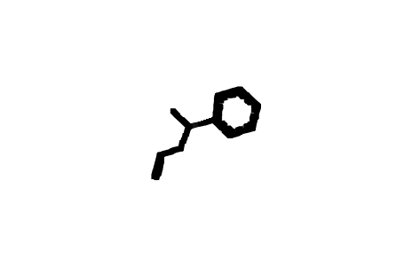 C=CCC(C)c1ccccc1